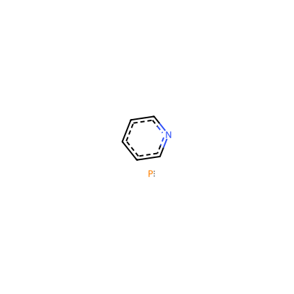 [P].c1ccncc1